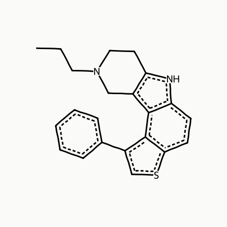 CCCN1CCc2[nH]c3ccc4scc(-c5ccccc5)c4c3c2C1